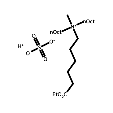 CCCCCCCC[N+](C)(CCCCCCCC)CCCCCC(=O)OCC.O=S(=O)([O-])[O-].[H+]